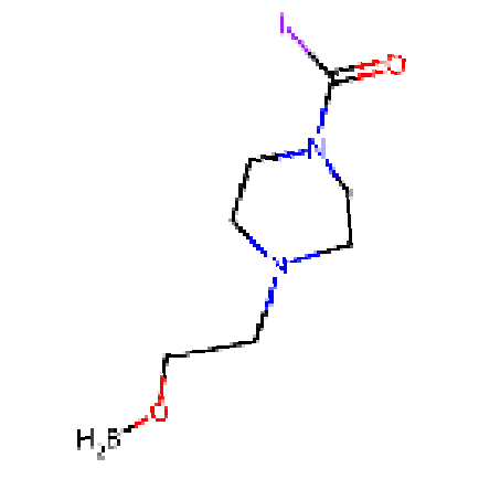 BOCCN1CCN(C(=O)I)CC1